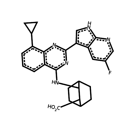 O=C(O)C1C2CCC(CC2)C1Nc1nc(-c2c[nH]c3ncc(F)cc23)nc2c(C3CC3)cccc12